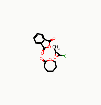 CC1OC1Cl.O=C1CCCCCO1.O=C1OC(=O)c2ccccc21